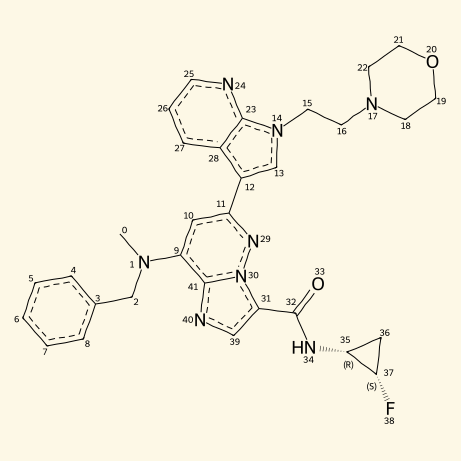 CN(Cc1ccccc1)c1cc(-c2cn(CCN3CCOCC3)c3ncccc23)nn2c(C(=O)N[C@@H]3C[C@@H]3F)cnc12